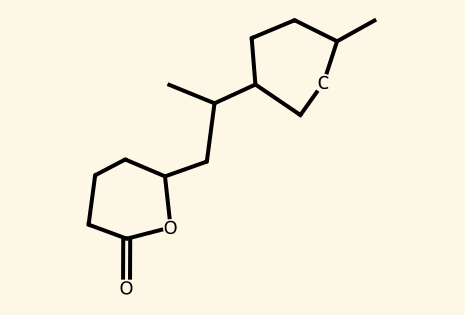 CC1CCC(C(C)CC2CCCC(=O)O2)CC1